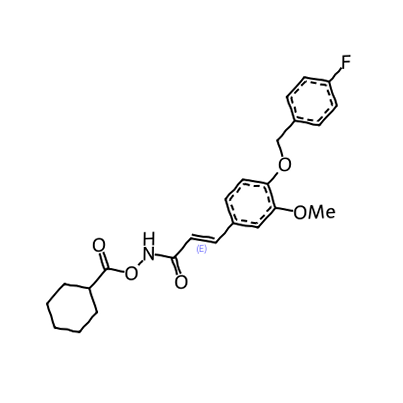 COc1cc(/C=C/C(=O)NOC(=O)C2CCCCC2)ccc1OCc1ccc(F)cc1